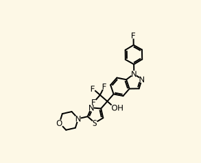 OC(c1ccc2c(cnn2-c2ccc(F)cc2)c1)(c1csc(N2CCOCC2)n1)C(F)(F)F